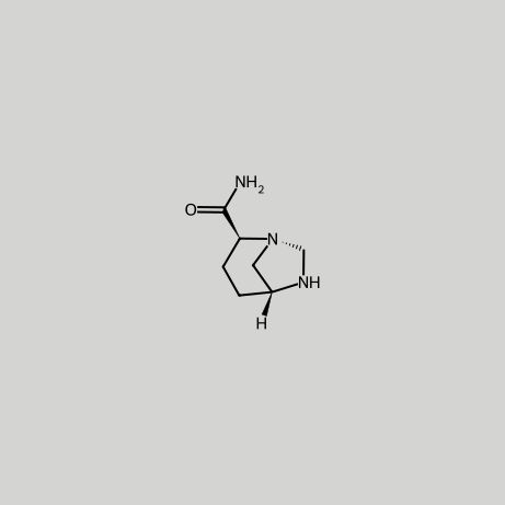 NC(=O)[C@@H]1CC[C@@H]2C[N@@]1CN2